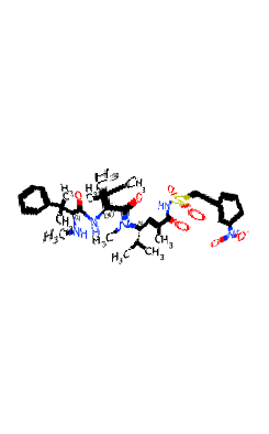 CN[C@H](C(=O)N[C@H](C(=O)N(C)[C@H](C=C(C)C(=O)NS(=O)(=O)Cc1cccc([N+](=O)[O-])c1)C(C)C)C(C)(C)C)C(C)(C)c1ccccc1